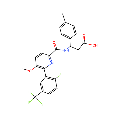 COc1ccc(C(=O)NC(CC(=O)O)c2ccc(C)cc2)nc1-c1cc(C(F)(F)F)ccc1F